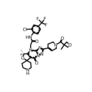 C[C@H]1OC2(CCNCC2)c2c1n(CC(=O)Nc1ccc(C(F)(F)F)cc1Cl)c1nc(C3=CCN(C(=O)C4(C)COC4)CC3)nn1c2=O